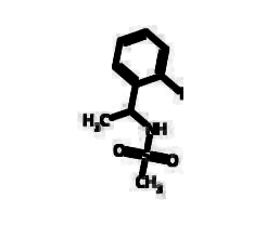 CC(NS(C)(=O)=O)c1ccccc1I